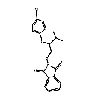 CC(C)C(CON1C(=O)c2ccccc2C1=O)Oc1ccc(Cl)cc1